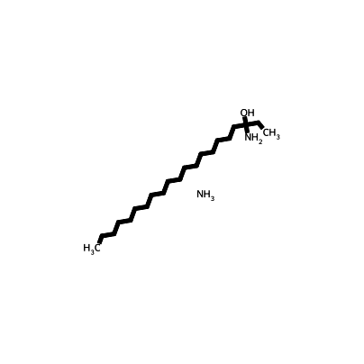 CCCCCCCCCCCCCCCCCCC(N)(O)CC.N